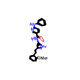 COc1ccccc1CCc1cc(NC(=O)c2ccc(Nc3ccccc3)nc2)[nH]n1